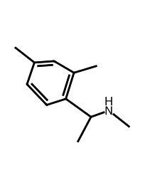 CNC(C)c1ccc(C)cc1C